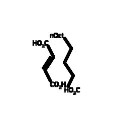 CCCCCCCCCCCC(=O)O.O=C(O)C=CC(=O)O